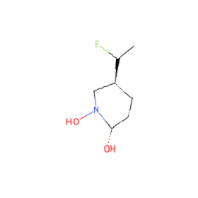 CC(F)[C@H]1CCC(O)N(O)C1